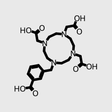 O=C(O)CN1CCN(CC(=O)O)CCN(Cc2cccc(C(=O)O)c2)CCN(CC(=O)O)CC1